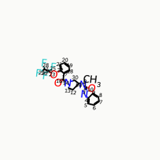 CN(c1nc2ccccc2o1)[C@@H]1CCN(C(=O)c2ccccc2OC(F)(F)C(F)F)C1